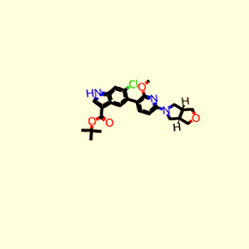 COc1nc(N2C[C@@H]3COC[C@H]3C2)ccc1-c1cc2c(C(=O)OC(C)(C)C)c[nH]c2cc1Cl